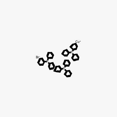 [Br-].[Cu+].c1ccc(P(c2ccccc2)c2ccccc2)cc1.c1ccc(P(c2ccccc2)c2ccccc2)cc1.c1ccc(P(c2ccccc2)c2ccccc2)cc1